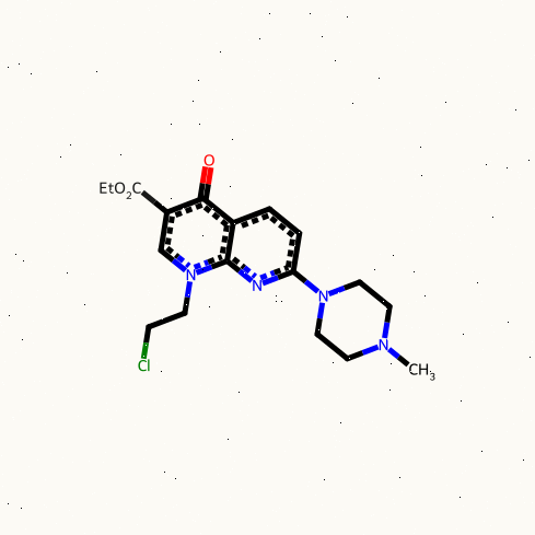 CCOC(=O)c1cn(CCCl)c2nc(N3CCN(C)CC3)ccc2c1=O